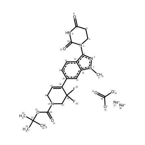 Cn1nc(N2CCC(=O)NC2=O)c2ccc(C3=CCN(C(=O)OC(C)(C)C)CC3(F)F)cc21.O=C([O-])[O-].[Na+].[Na+]